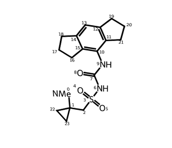 CNC1(CS(=O)(=O)NC(=O)Nc2c3c(cc4c2CCC4)CCC3)CC1